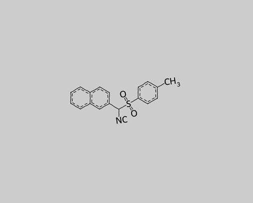 [C-]#[N+]C(c1ccc2ccccc2c1)S(=O)(=O)c1ccc(C)cc1